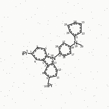 CC(C)c1ccc2c(c1)c1cc(C(C)C)ccc1n2-c1ccc(N(C)c2ccccc2)cc1